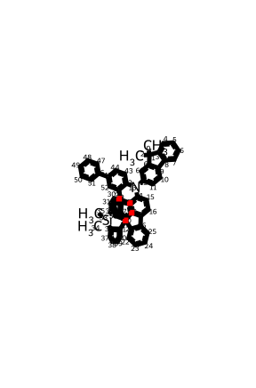 CC1(C)c2ccccc2-c2ccc(N(c3ccc4c(c3)C3(c5ccccc5-4)c4ccccc4[Si](C)(C)c4ccccc43)c3ccc(-c4ccccc4)cc3-c3ccccc3)cc21